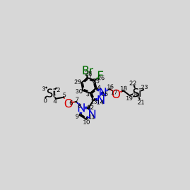 C[Si](C)(C)CCOCn1ccnc1-c1nn(COCC[Si](C)(C)C)c2c(F)c(Br)ccc12